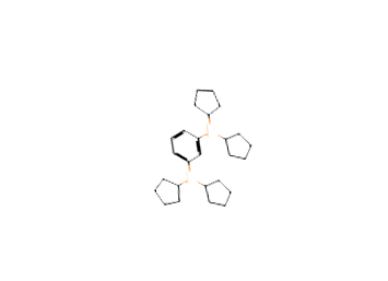 c1cc(P(C2CCCC2)C2CCCC2)cc(P(C2CCCC2)C2CCCC2)c1